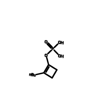 CCCCC1=C(OP(=O)(O)O)CC1